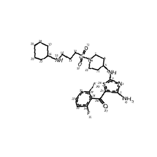 Nc1nc(NC2CCN(S(=O)(=O)CCCNC3CCCCC3)CC2)sc1C(=O)c1c(F)cccc1F